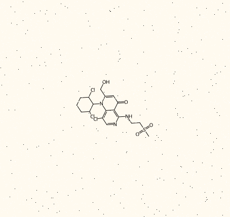 CS(=O)(=O)CCNc1ncc(Cl)c2c1c(=O)cc(CO)n2C1C(Cl)CCCC1Cl